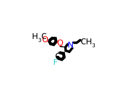 CCCCN1CC[C@H](c2ccc(F)cc2)[C@@H](COc2ccc(OC)cc2)C1